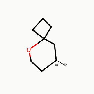 C[C@@H]1CCOC2(CCC2)C1